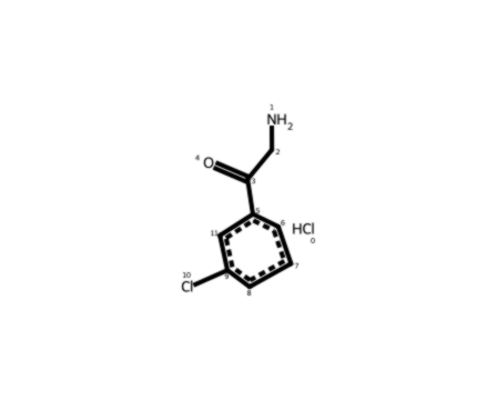 Cl.NCC(=O)c1cccc(Cl)c1